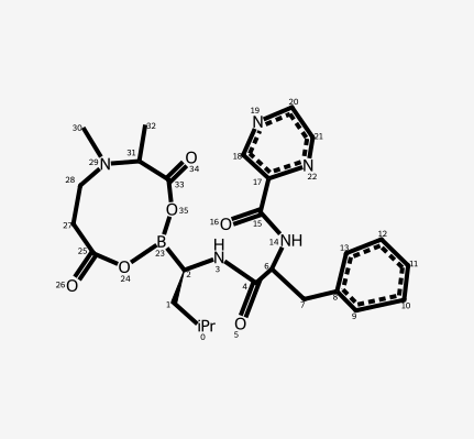 CC(C)C[C@H](NC(=O)C(Cc1ccccc1)NC(=O)c1cnccn1)B1OC(=O)CCN(C)C(C)C(=O)O1